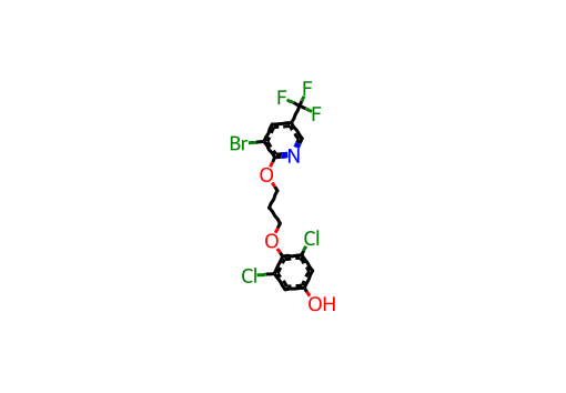 Oc1cc(Cl)c(OCCCOc2ncc(C(F)(F)F)cc2Br)c(Cl)c1